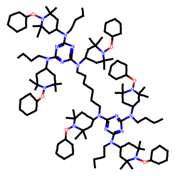 CCCCN(c1nc(N(CCCC)C2CC(C)(C)N(OC3CCCCC3)C(C)(C)C2)nc(N(CCCCCCN(c2nc(N(CCCC)C3CC(C)(C)N(OC4CCCCC4)C(C)(C)C3)nc(N(CCCC)C3CC(C)(C)N(OC4CCCCC4)C(C)(C)C3)n2)C2CC(C)(C)N(OC3CCCCC3)C(C)(C)C2)C2CC(C)(C)N(OC3CCCCC3)C(C)(C)C2)n1)C1CC(C)(C)N(OC2CCCCC2)C(C)(C)C1